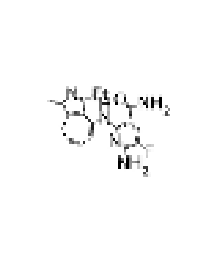 CCC1=NC(C)C2=C1C(Nc1nc(N)c(F)cc1C(N)=O)=CC=CC2